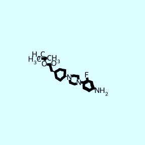 CC(C)(C)OC(=O)C[C@H]1CC[C@H](N2CCN(c3ccc(N)cc3F)CC2)CC1